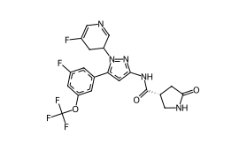 O=C1C[C@@H](C(=O)Nc2cc(-c3cc(F)cc(OC(F)(F)F)c3)n(C3C=NC=C(F)C3)n2)CN1